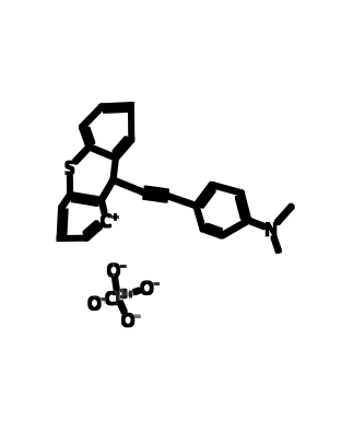 CN(C)c1ccc(C#CC2C3=C(C=CC=[C+]3)Sc3ccccc32)cc1.[O-][Cl+3]([O-])([O-])[O-]